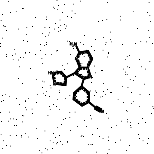 N#Cc1cccc(-c2nn3ccc(N)nc3c2-c2cn[nH]c2)c1